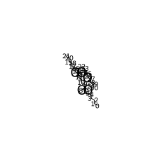 CCCCCCOC(=O)CCCCC(=O)OCCCCCC.CCCCOCCCC